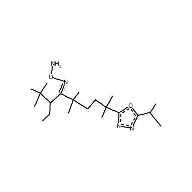 CCC(/C(=N\ON)C(C)(C)CCC(C)(C)c1nnc(C(C)C)o1)C(C)(C)C